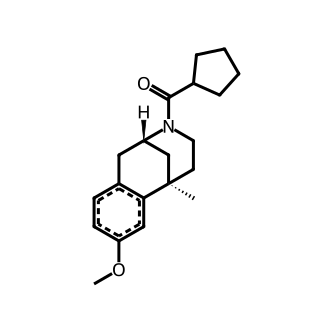 COc1ccc2c(c1)[C@]1(C)CCN(C(=O)C3CCCC3)[C@@H](C2)C1